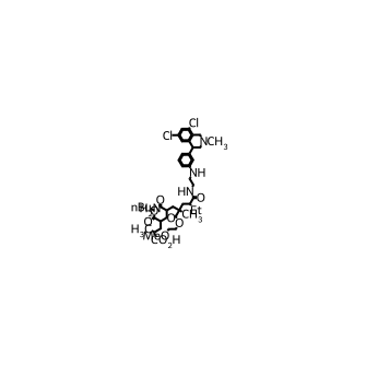 CCCCOC(=O)C(CC(C)C(=O)O)CC(CC(C)(CC(CC)C(=O)NCCNc1cccc(C2CN(C)Cc3c(Cl)cc(Cl)cc32)c1)C(=O)OCCOC)C(N)=O